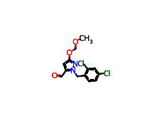 COCOc1cc(C=O)n(Cc2ccc(Cl)cc2Cl)n1